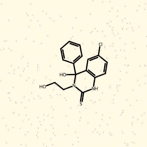 OCCN1C(=S)Nc2ccc(Cl)cc2C1(O)c1ccccc1